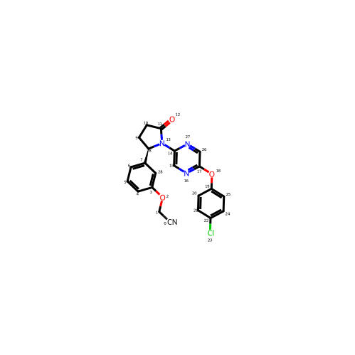 N#CCOc1cccc([C@H]2CCC(=O)N2c2cnc(Oc3ccc(Cl)cc3)cn2)c1